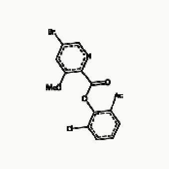 COc1cc(Br)cnc1C(=O)Oc1c(Cl)cccc1C(C)=O